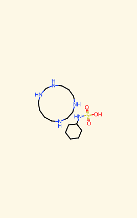 C1CCNCNCCCNCCNC1.O=S(=O)(O)NC1CCCCC1